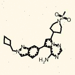 CS(=O)(=O)N1CCC(c2cc(-c3ccc4cn(CC5CCC5)nc4c3)c3c(N)ncnn23)CC1